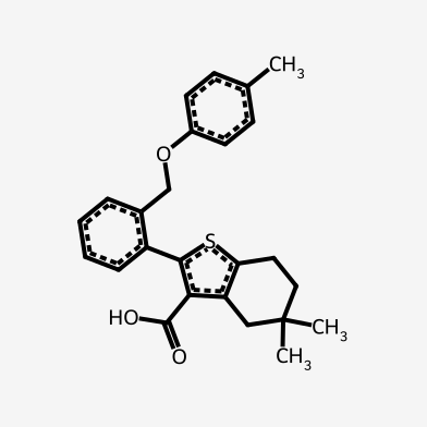 Cc1ccc(OCc2ccccc2-c2sc3c(c2C(=O)O)CC(C)(C)CC3)cc1